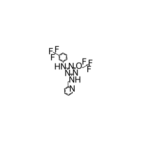 FC(F)(F)COc1nc(NCc2ccccn2)nc(Nc2cccc(C(F)(F)F)c2)n1